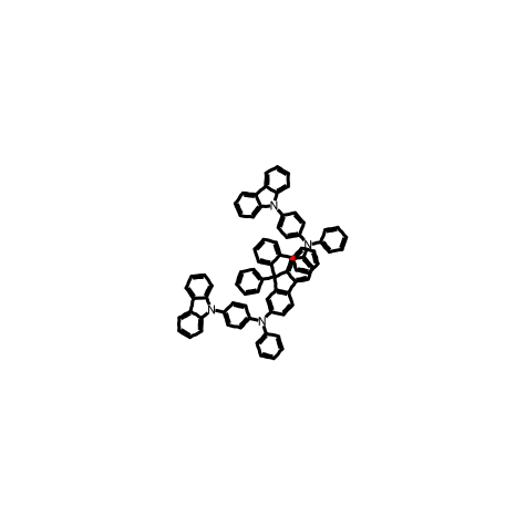 c1ccc(-c2ccccc2C2(c3ccccc3)c3cc(N(c4ccccc4)c4ccc(-n5c6ccccc6c6ccccc65)cc4)ccc3-c3ccc(N(c4ccccc4)c4ccc(-n5c6ccccc6c6ccccc65)cc4)cc32)cc1